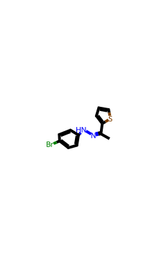 CC(=NNc1ccc(Br)cc1)c1cccs1